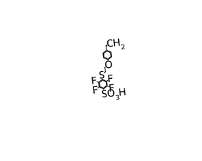 C=Cc1ccc(OCCSc2c(F)c(F)c(S(=O)(=O)O)c(F)c2F)cc1